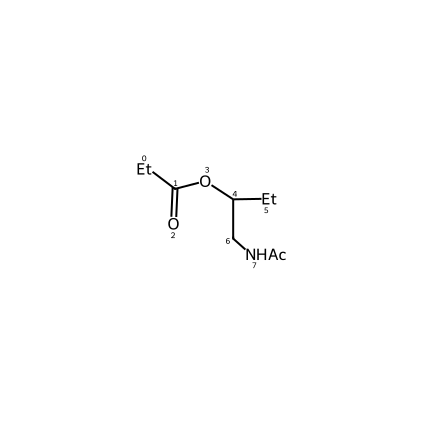 CCC(=O)OC(CC)CNC(C)=O